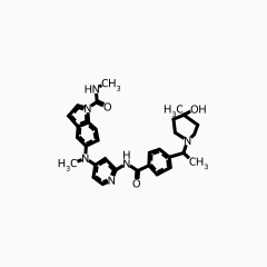 CNC(=O)n1ccc2cc(N(C)c3ccnc(NC(=O)c4ccc(C(C)N5CCC(C)(O)CC5)cc4)c3)ccc21